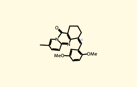 COc1ccc(OC)c(/C=C2/CCCc3c2nc2ccc(C)cn2c3=O)c1